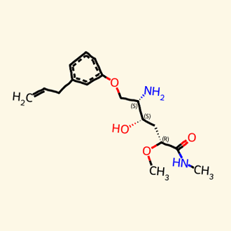 C=CCc1cccc(OC[C@H](N)[C@@H](O)C[C@@H](OC)C(=O)NC)c1